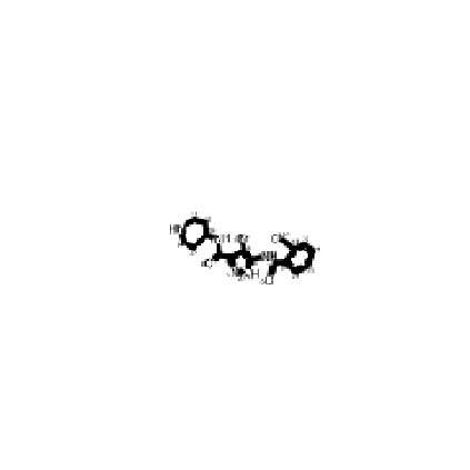 O=C(Nc1[nH]nc(C(=O)NC2CCNCC2)c1Br)c1ccccc1Cl